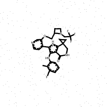 Cc1c(F)cccc1Nc1c(-c2ccncc2OCC2CCN2CC(F)(F)F)[nH]c2c1C(=O)NCC21CC1